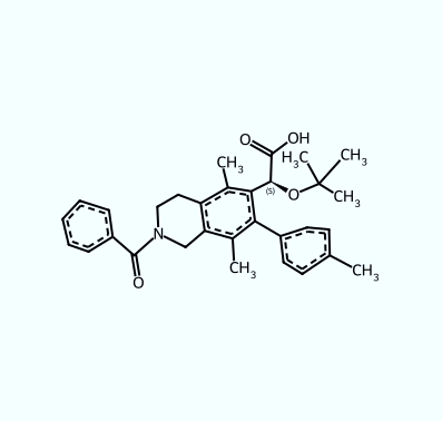 Cc1ccc(-c2c(C)c3c(c(C)c2[C@H](OC(C)(C)C)C(=O)O)CCN(C(=O)c2ccccc2)C3)cc1